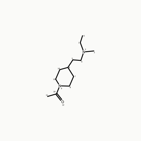 CCN(C)CCC1CCN(C(C)=O)CC1